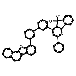 CC1(C)c2ccccc2-c2nc(-c3ccccc3)nc(-c3cccc(-c4cccc(-c5cccc6c5oc5c7ccccc7ccc65)c4)c3)c21